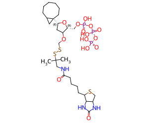 CC(C)(CNC(=O)CCCCC1SCC2NC(=O)NC21)SSCOC1C[C@H](C23CCCCCCC2C3)O[C@@H]1COP(=O)(O)OP(=O)(O)OP(=O)(O)O